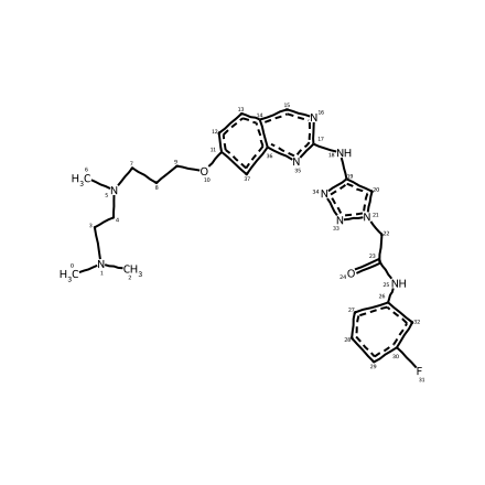 CN(C)CCN(C)CCCOc1ccc2cnc(Nc3cn(CC(=O)Nc4cccc(F)c4)nn3)nc2c1